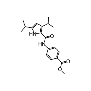 COC(=O)c1ccc(NC(=O)c2[nH]c(C(C)C)cc2C(C)C)cc1